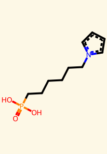 O=P(O)(O)CCCCCCn1cccc1